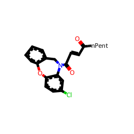 CCCCCC(=O)/C=C/C(=O)N1Cc2ccccc2Oc2ccc(Cl)cc21